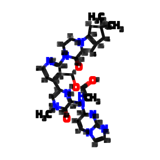 CC(=O)OCc1c(-c2cn(C)c(=O)c(Nc3ccn4ccnc4n3)n2)ccnc1N1CCn2c(cc3c2CC(C)(C)C3)C1=O